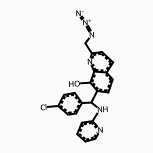 [N-]=[N+]=NCc1ccc2ccc(C(Nc3ccccn3)c3ccc(Cl)cc3)c(O)c2n1